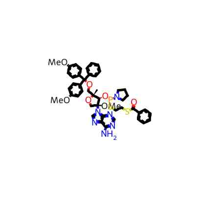 COc1ccc(C(OC[C@@]2(C)OC[C@@](OC)(n3cnc4c(N)ncnc43)[C@H]2OP(SCCSC(=O)c2ccccc2)N2CCCC2)(c2ccccc2)c2ccc(OC)cc2)cc1